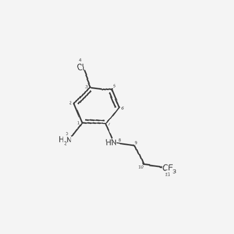 Nc1cc(Cl)ccc1NCCC(F)(F)F